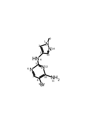 Cn1cc(Nc2ncc(Br)c(N)n2)cn1